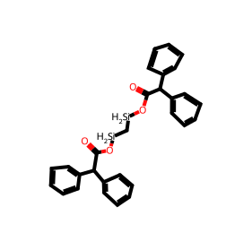 O=C(O[SiH2]C[SiH2]OC(=O)C(c1ccccc1)c1ccccc1)C(c1ccccc1)c1ccccc1